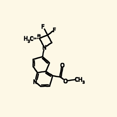 COC(=O)c1ccnc2ccc(N3CC(F)(F)[C@H]3C)cc12